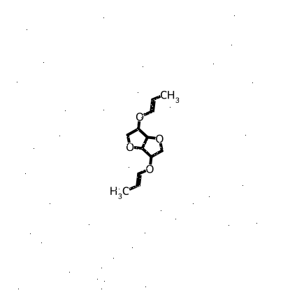 CC=COC1COC2C(OC=CC)COC12